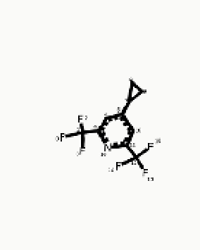 FC(F)(F)c1cc([C]2CC2)cc(C(F)(F)F)n1